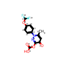 Cc1cc(=O)c(OC(=O)O)nn1-c1ccc(OC(F)F)cc1